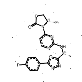 CC(C)[C@H]1COC(=O)N1c1ccnc(N[C@H](C)c2nnc(-c3ccc(F)cc3)o2)n1